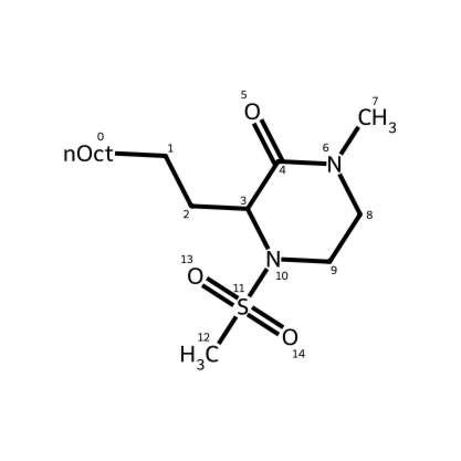 CCCCCCCCCCC1C(=O)N(C)CCN1S(C)(=O)=O